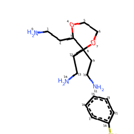 NCCC1OCCOC1(CCN)CCN.Sc1ccccc1